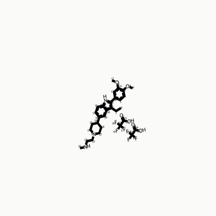 CCc1c(-c2ccc(OC)c(OC)c2)[nH]c2ccc(C3CCN(CCNC)CC3)cc12.O=C(O)C(F)(F)F.O=C(O)C(F)(F)F